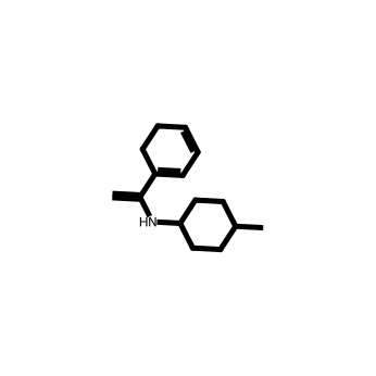 C=C(NC1CCC(C)CC1)C1=CC=CCC1